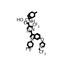 CC1CC2CC(C1)C(NC(=O)c1cnc(-c3cn(C4CCC(F)(F)CC4)c4cc(O[C@H]5CCN(CC(F)(F)F)C5)ccc34)nc1C(F)(F)F)(C(=O)O)C2